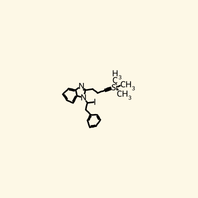 C[Si](C)(C)C#CCCc1nc2ccccc2n1C(I)Cc1ccccc1